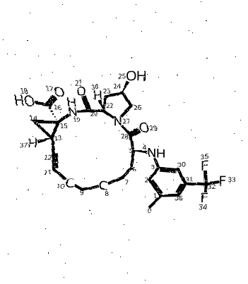 Cc1cc(N[C@H]2CCCCC/C=C\[C@@H]3C[C@@]3(C(=O)O)NC(=O)[C@@H]3C[C@@H](O)CN3C2=O)cc(C(F)(F)F)c1